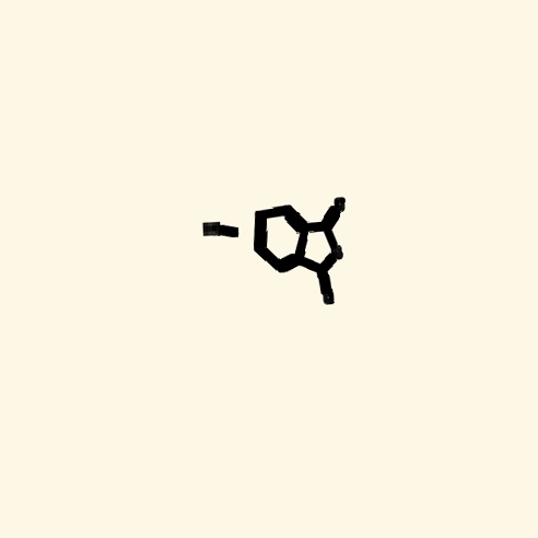 CS.O=C1OC(=O)c2ccccc21